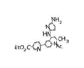 CCOC(=O)c1ccc(-c2ccc3c(c2)[C@H](Nc2ccc(N)cn2)C[C@H](C)N3C(C)=O)nc1